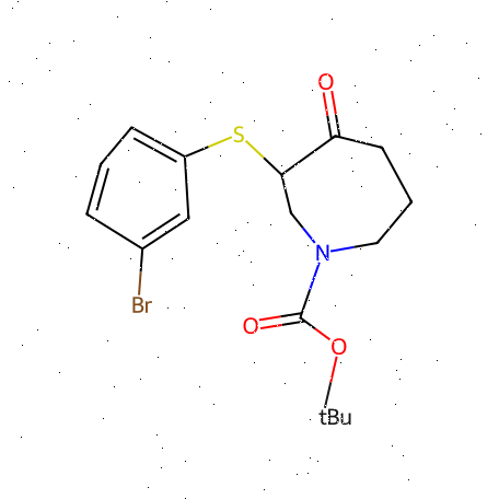 CC(C)(C)OC(=O)N1CCCC(=O)C(Sc2cccc(Br)c2)C1